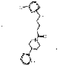 O=C(CCCCc1cccc(Cl)c1)N1CCC(c2ccccc2)CC1